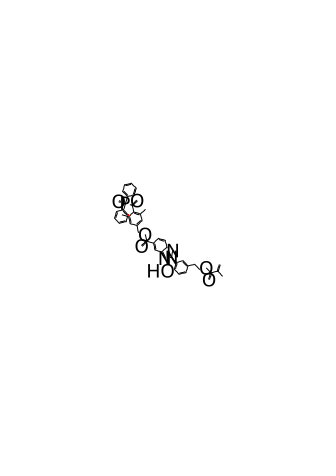 C=C(C)C(=O)OCCc1ccc(O)c(-n2nc3ccc(C(=O)OCc4cc(C)c(C(=O)P(=O)(c5ccccc5)c5ccccc5)c(C)c4)cc3n2)c1